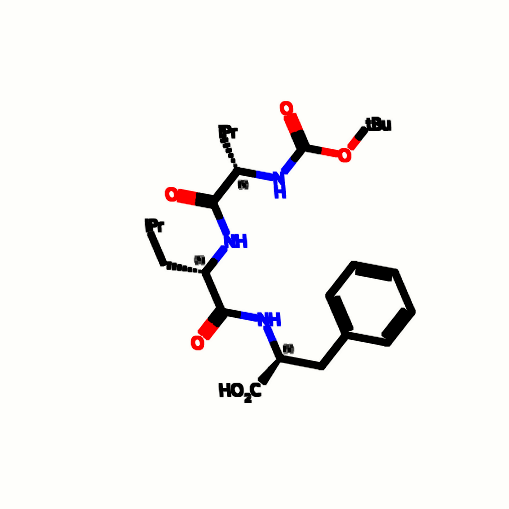 CC(C)C[C@H](NC(=O)[C@@H](NC(=O)OC(C)(C)C)C(C)C)C(=O)N[C@@H](Cc1ccccc1)C(=O)O